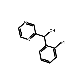 CC(C)c1ccccc1C(O)c1cnccn1